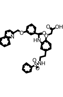 O=C(O)COc1ccc(CCNS(=O)(=O)c2ccccc2)cc1NC(=O)c1cccc(OCc2ccc3ccccc3n2)c1